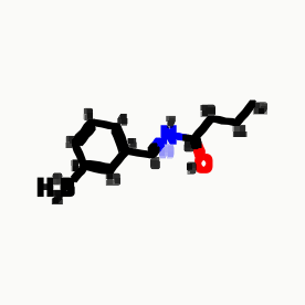 Bc1cccc(/C=N/C(=O)CCC)c1